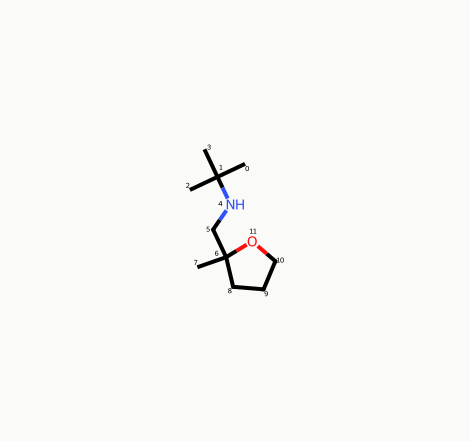 CC(C)(C)NCC1(C)CCCO1